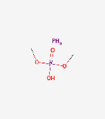 COP(=O)(O)OC.P